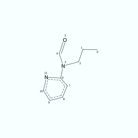 CCCN(C=O)c1ccccn1